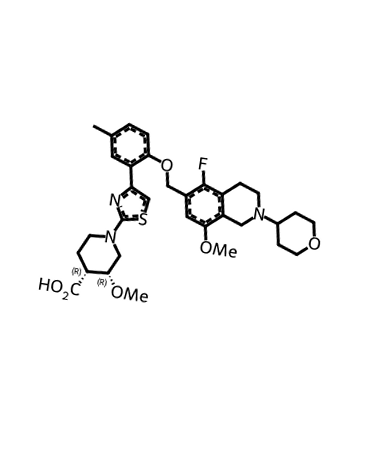 COc1cc(COc2ccc(C)cc2-c2csc(N3CC[C@@H](C(=O)O)[C@@H](OC)C3)n2)c(F)c2c1CN(C1CCOCC1)CC2